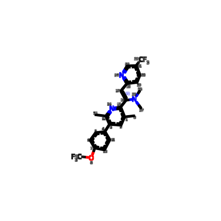 Cc1cc(-c2ccc(OC(F)(F)F)cc2)c(C)nc1/C(=C/c1ccc(C(F)(F)F)cn1)N(C)C